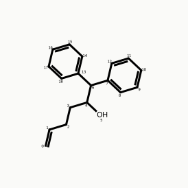 C=CCCC(O)C(c1ccccc1)c1ccccc1